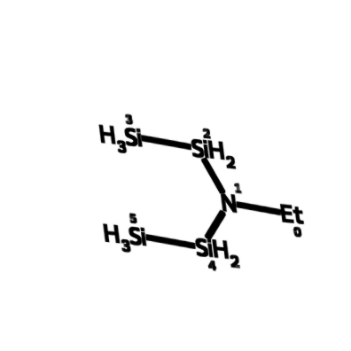 CCN([SiH2][SiH3])[SiH2][SiH3]